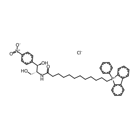 O=C(CCCCCCCCCCC[P+]1(c2ccccc2)c2ccccc2-c2ccccc21)N[C@H](CO)[C@H](O)c1ccc([N+](=O)[O-])cc1.[Cl-]